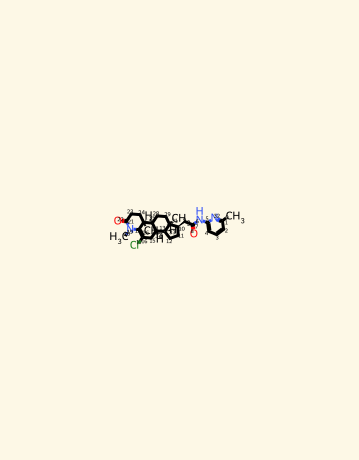 Cc1cccc(NC(=O)C[C@H]2CC[C@H]3[C@@H]4CC(Cl)=C5N(C)C(=O)CC[C@]5(C)[C@H]4CC[C@]23C)n1